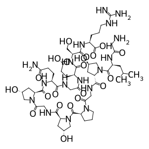 CC(C)C[C@H](NC(=O)CN)C(=O)N1C[C@H](O)C[C@H]1C(=O)NCC(=O)N1CCC[C@H]1C(=O)N1C[C@H](O)C[C@H]1C(=O)NCC(=O)N1C[C@H](O)C[C@H]1C(=O)N[C@@H](CCC(N)=O)C(=O)NCC(=O)N[C@@H](CCC(=O)O)C(=O)N[C@@H](CO)C(=O)N[C@@H](CCCNC(=N)N)C(=O)O